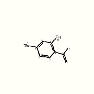 C=C(C)c1ccc(C(C)(C)C)cc1O